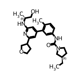 CC[C@@H]1CCN(C(=O)Nc2ccc(C)c(-c3cc(N[C@H](C)CO)nc(C4CCOC4)c3)c2)C1